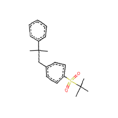 CC(C)(Cc1ccc(S(=O)(=O)C(C)(C)C)cc1)c1ccccc1